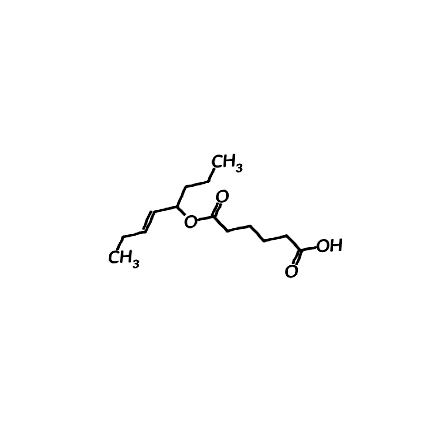 CCC=CC(CCC)OC(=O)CCCCC(=O)O